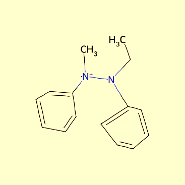 CCN(c1ccccc1)[N+](C)c1ccccc1